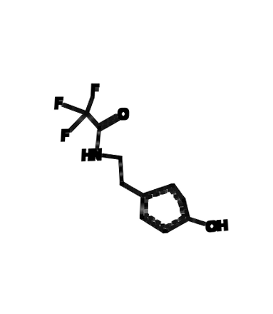 O=C(NCCc1ccc(O)cc1)C(F)(F)F